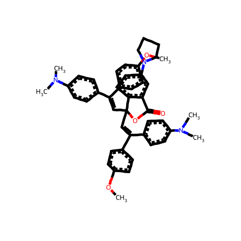 COc1ccc(C(=CC2(C=C(c3ccc(OC)cc3)c3ccc(N(C)C)cc3)OC(=O)c3cc(N4CCCC4)ccc32)c2ccc(N(C)C)cc2)cc1